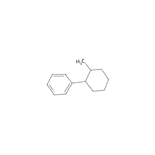 CC1CCCCC1c1[c]cccc1